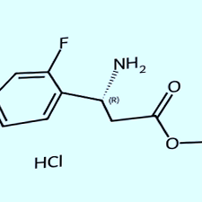 COC(=O)C[C@@H](N)c1ccccc1F.Cl